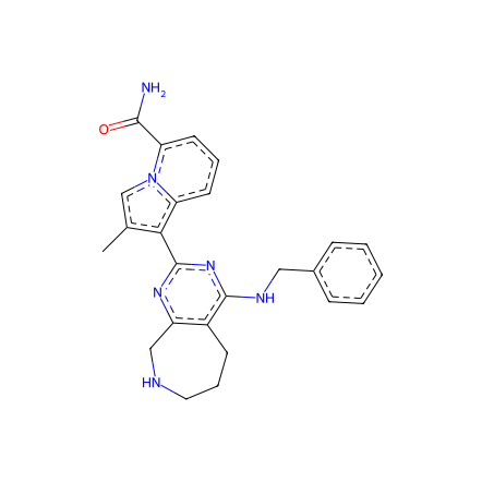 Cc1cn2c(C(N)=O)cccc2c1-c1nc2c(c(NCc3ccccc3)n1)CCCNC2